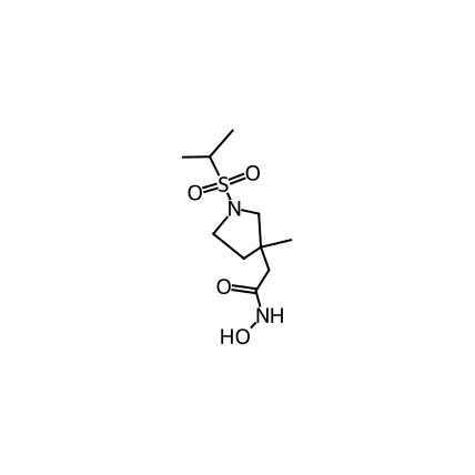 CC(C)S(=O)(=O)N1CCC(C)(CC(=O)NO)C1